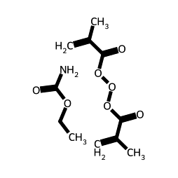 C=C(C)C(=O)OOOC(=O)C(=C)C.CCOC(N)=O